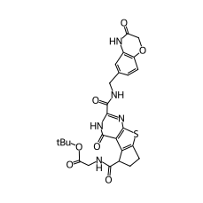 CC(C)(C)OC(=O)CNC(=O)C1CCc2sc3nc(C(=O)NCc4ccc5c(c4)NC(=O)CO5)[nH]c(=O)c3c21